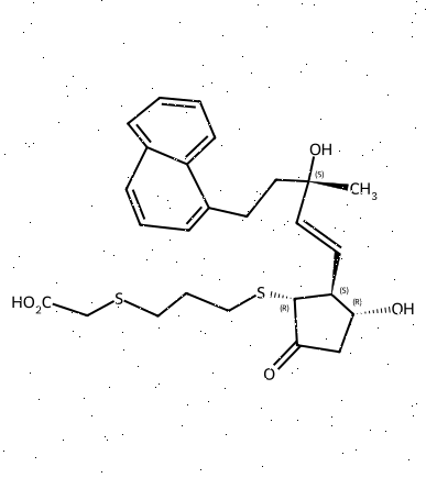 C[C@@](O)(C=C[C@H]1[C@H](O)CC(=O)[C@@H]1SCCCSCC(=O)O)CCc1cccc2ccccc12